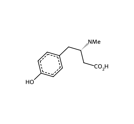 CN[C@H](CC(=O)O)Cc1ccc(O)cc1